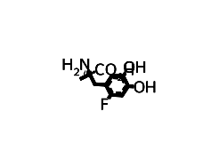 C[C@](N)(Cc1cc(O)c(O)cc1F)C(=O)O